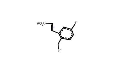 O=C(O)/C=C/c1cc(F)ccc1CBr